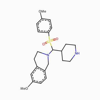 COc1ccc(S(=O)(=O)C(C2CCNCC2)N2CCc3cc(OC)ccc3C2)cc1